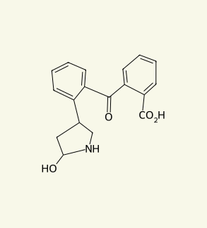 O=C(O)c1ccccc1C(=O)c1ccccc1C1CNC(O)C1